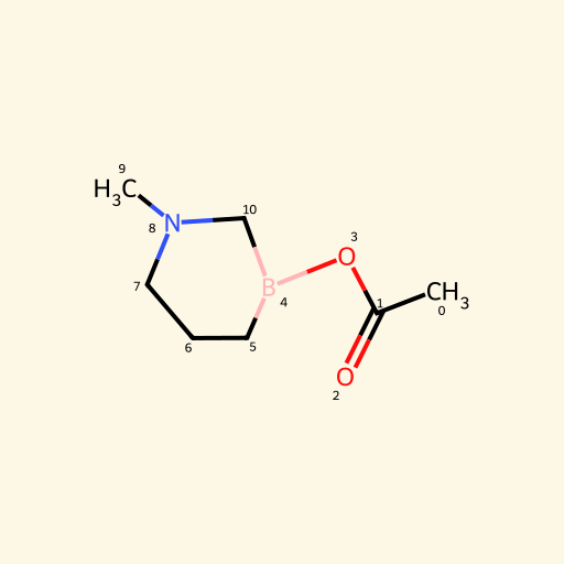 CC(=O)OB1CCCN(C)C1